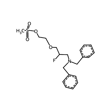 CS(=O)(=O)OCCOCC(F)CN(Cc1ccccc1)Cc1ccccc1